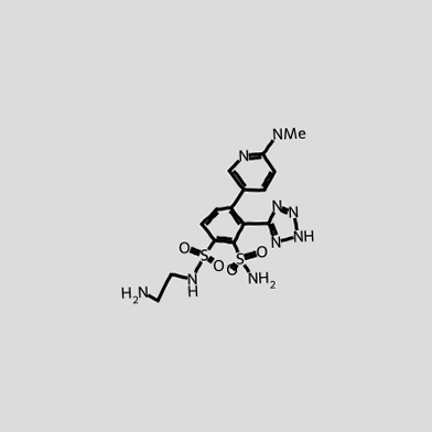 CNc1ccc(-c2ccc(S(=O)(=O)NCCN)c(S(N)(=O)=O)c2-c2nn[nH]n2)cn1